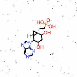 O=P(O)(O)CC[C@@]12C[C@@H]1C(n1cnc3cncnc31)[C@H](O)C[C@@H]2O